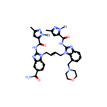 CCn1nc(C)cc1C(=O)Nc1nc2cc(C(N)=O)ccc2n1C/C=C/Cn1c(NC(=O)c2cc(C)nn2CC)nc2cccc(CN3CCOCC3)c21